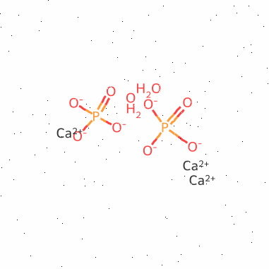 O.O.O=P([O-])([O-])[O-].O=P([O-])([O-])[O-].[Ca+2].[Ca+2].[Ca+2]